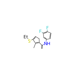 C=C(Nc1ccc(F)c(F)c1)C1=C(C)C(SCC)=CC1